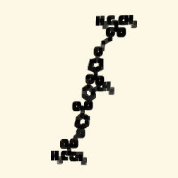 C=C(C)C(=O)OCCCOc1ccc(C(=O)Oc2ccc(OC(=O)c3ccc(OCOC(=O)C(=C)C)cc3)cc2C)cc1